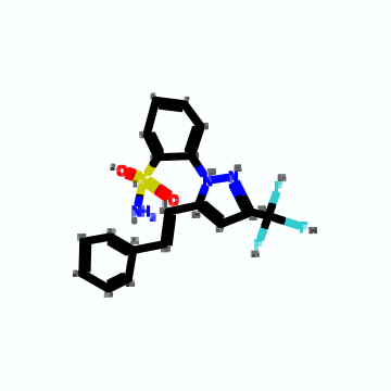 NS(=O)(=O)c1ccccc1-n1nc(C(F)(F)F)cc1C=Cc1ccccc1